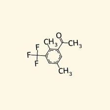 CC(=O)c1cc(C)cc(C(F)(F)F)c1C